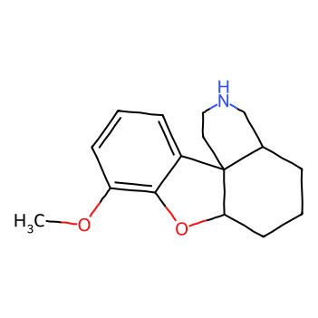 COc1cccc2c1OC1CCCC3CNCCC231